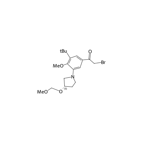 COCO[C@H]1CCN(c2cc(C(=O)CBr)cc(C(C)(C)C)c2OC)C1